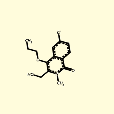 CCCOc1c(CO)n(C)c(=O)c2ccc(Cl)cc12